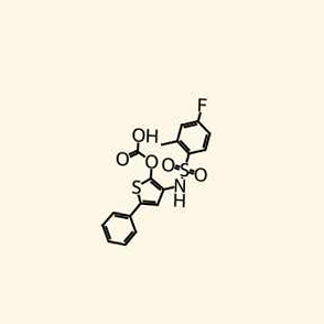 Cc1cc(F)ccc1S(=O)(=O)Nc1cc(-c2ccccc2)sc1OC(=O)O